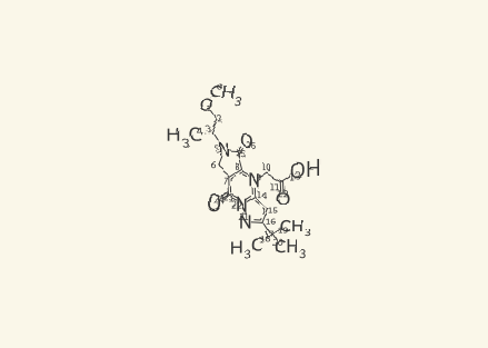 COC[C@@H](C)N1Cc2c(n(CC(=O)O)c3cc(C(C)(C)C)nn3c2=O)C1=O